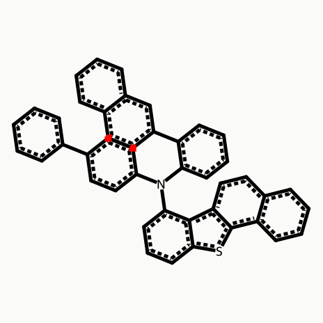 c1ccc(-c2ccc(N(c3ccccc3-c3ccc4ccccc4c3)c3cccc4sc5c6ccccc6ccc5c34)cc2)cc1